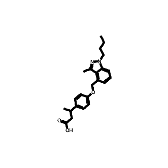 CCCCn1nc(C)c2c(COc3ccc(C(C)CC(=O)O)cc3)cccc21